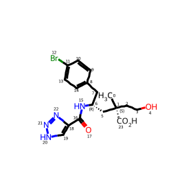 C[C@@](CCO)(C[C@@H](Cc1ccc(Br)cc1)NC(=O)c1c[nH]nn1)C(=O)O